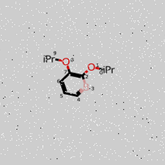 CC(C)Oc1bcccc1OC(C)C